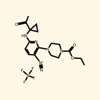 CCOC(=O)N1CCN(c2nc(NC3(C(C)=O)CC3)ccc2[N+]#N)CC1.F[B-](F)(F)F